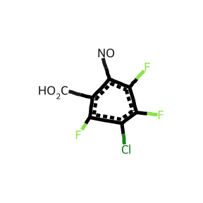 O=Nc1c(F)c(F)c(Cl)c(F)c1C(=O)O